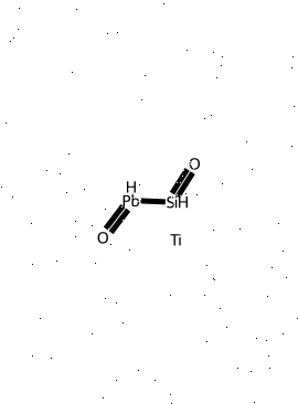 O=[SiH][PbH]=[O].[Ti]